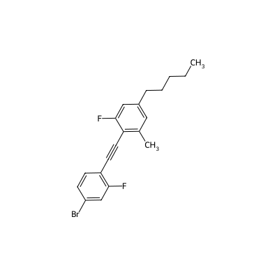 CCCCCc1cc(C)c(C#Cc2ccc(Br)cc2F)c(F)c1